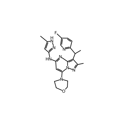 Cc1cc(Nc2cc(N3CCOCC3)n3nc(C)c(C(C)c4ccc(F)cn4)c3n2)n[nH]1